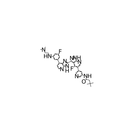 CN(C)CCNc1cc(F)cc(-c2ccnc3[nH]c(-c4n[nH]c5ncc(-c6cncc(NC(=O)CC(C)(C)C)c6)c(F)c45)nc23)c1